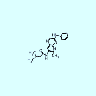 Cc1nc2nc(Nc3ccccc3)cnc2cc1NC(=O)CN(C)C